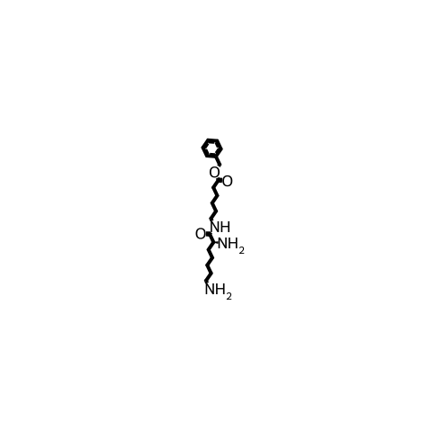 NCCCCC[C@H](N)C(=O)NCCCCCC(=O)OCc1ccccc1